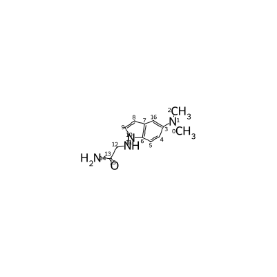 CN(C)c1ccc2c(ccn2NCC(N)=O)c1